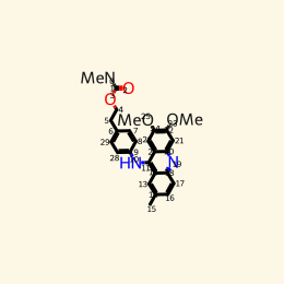 CNC(=O)OCCc1ccc(Nc2c3cc(C)ccc3nc3cc(OC)c(OC)cc23)cc1